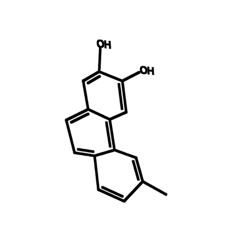 Cc1ccc2ccc3cc(O)c(O)cc3c2c1